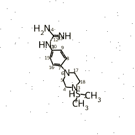 C[SH](C)N1CCN(c2ccc(NC(=N)N)cc2)CC1